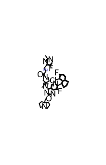 Cc1ncc(F)c(/C=C/C(=O)N2CC[C@@H](N(C)c3nc(OCC45CCCN4CCC5)nc4c(F)c(-c5cccc6ccc(F)c(Cl)c56)ncc34)C2)n1